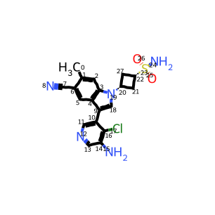 Cc1cc2c(cc1C#N)c(-c1cncc(N)c1Cl)cn2[C@H]1C[C@@H](S(N)(=O)=O)C1